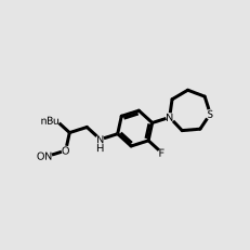 CCCCC(CNc1ccc(N2CCCSCC2)c(F)c1)ON=O